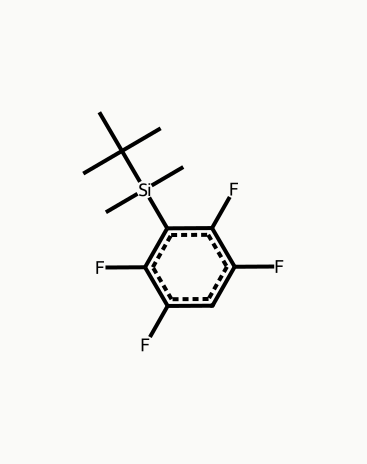 CC(C)(C)[Si](C)(C)c1c(F)c(F)cc(F)c1F